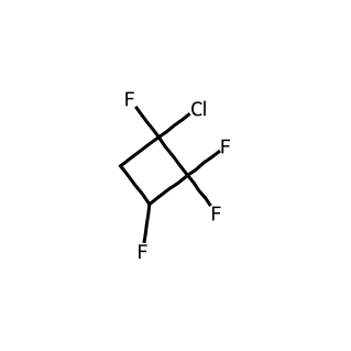 FC1CC(F)(Cl)C1(F)F